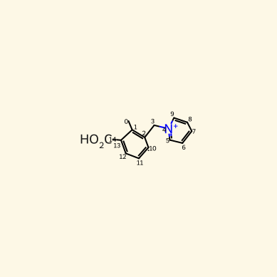 Cc1c(C[n+]2ccccc2)[c]ccc1C(=O)O